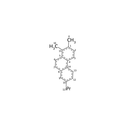 Cc1ccc2c(ccc3cc(C(C)C)ccc32)c1C